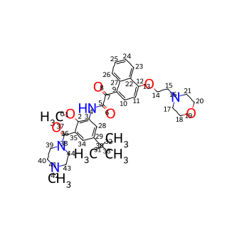 COc1c(NC(=O)C(=O)c2ccc(OCCN3CCOCC3)c3ccccc23)cc(C(C)(C)C)cc1C(=O)N1CCN(C)CC1